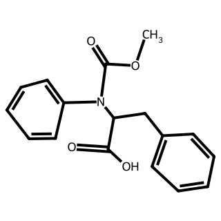 COC(=O)N(c1ccccc1)C(Cc1ccccc1)C(=O)O